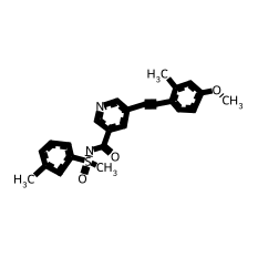 COc1ccc(C#Cc2cncc(C(=O)N=S(C)(=O)c3cccc(C)c3)c2)c(C)c1